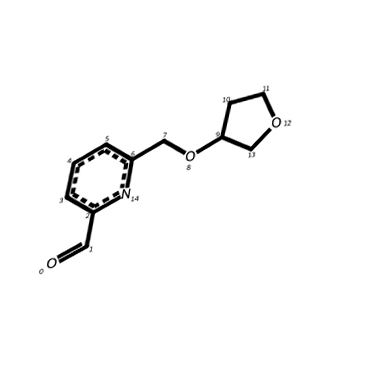 O=Cc1cccc(COC2CCOC2)n1